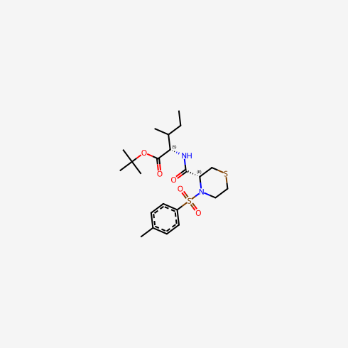 CCC(C)[C@H](NC(=O)[C@@H]1CSCCN1S(=O)(=O)c1ccc(C)cc1)C(=O)OC(C)(C)C